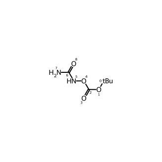 CC(C)(C)OC(=O)ONC(N)=O